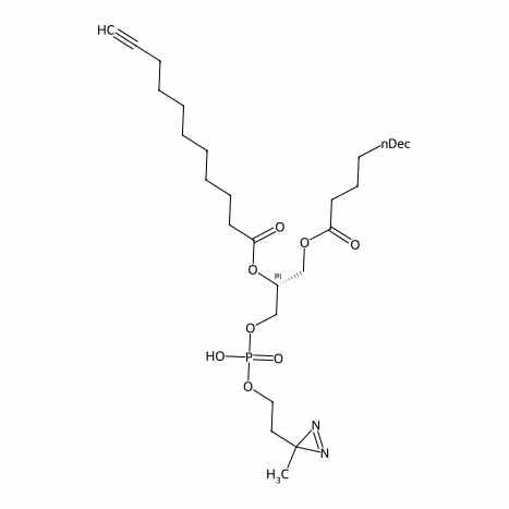 C#CCCCCCCCCC(=O)O[C@H](COC(=O)CCCCCCCCCCCCC)COP(=O)(O)OCCC1(C)N=N1